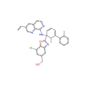 C=Cc1cnc2c(NC3(c4nc5cc(CO)cc(Cl)c5o4)C=CC=C(c4ccccc4C)C3C)nccc2c1